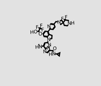 CNc1cc(N2CCc3c(-c4ccc(CN5CC6(CCNCC6(F)F)C5)cn4)cccc32)nn2c(C(=O)NC3CC3)cnc12.O=C(O)C(F)(F)F